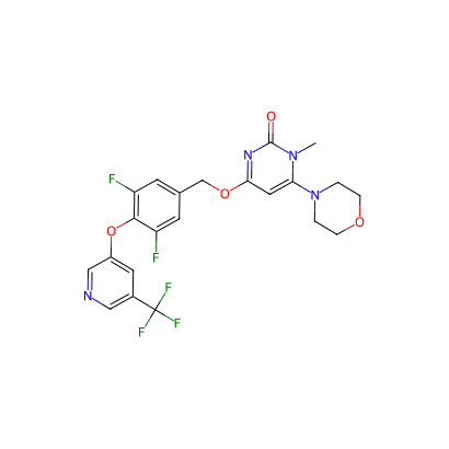 Cn1c(N2CCOCC2)cc(OCc2cc(F)c(Oc3cncc(C(F)(F)F)c3)c(F)c2)nc1=O